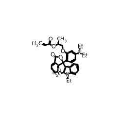 C=CC(=O)OC(C)COc1cc(N(CC)CC)ccc1C1(c2c(C)n(CC)c3ccccc23)OC(=O)c2cccnc21